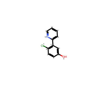 Oc1ccc(Cl)c(-c2ccccn2)c1